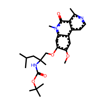 COc1cc2c3ccnc(C)c3c(=O)n(C)c2cc1OCC(C)(CC(C)C)NC(=O)OC(C)(C)C